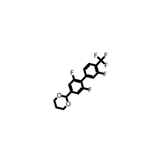 Fc1cc(-c2c(F)cc(C3OCCCO3)cc2F)ccc1C(F)(F)F